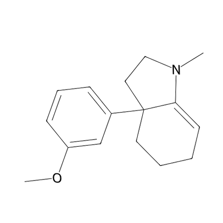 COc1cccc(C23CCCC=C2N(C)CC3)c1